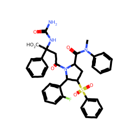 CN(C(=O)C1CC(S(=O)(=O)c2ccccc2)C(c2ccccc2F)N1C(=O)CC(NC(N)=O)(C(=O)O)c1ccccc1)c1ccccc1